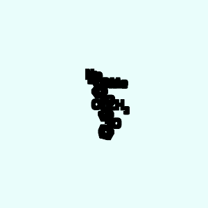 COc1cc(C(=O)C(=O)N2CCN(C(=O)c3ccccc3)C[C@H]2C)ccc1-c1cnco1